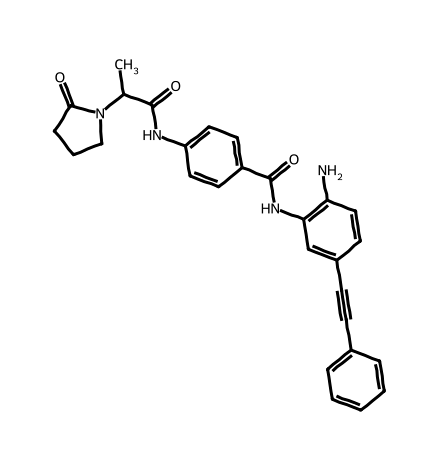 CC(C(=O)Nc1ccc(C(=O)Nc2cc(C#Cc3ccccc3)ccc2N)cc1)N1CCCC1=O